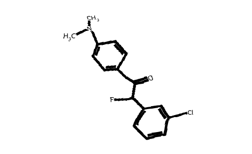 CN(C)c1ccc(C(=O)C(F)c2cccc(Cl)c2)cc1